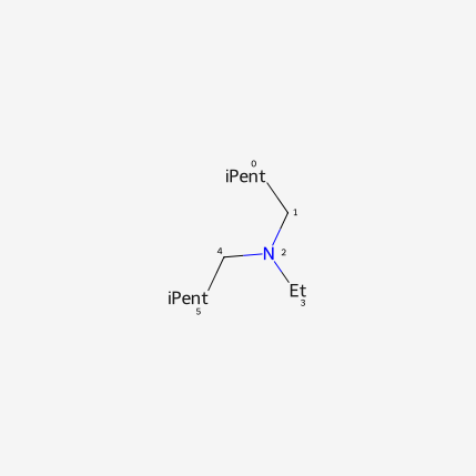 CCCC(C)CN(CC)CC(C)CCC